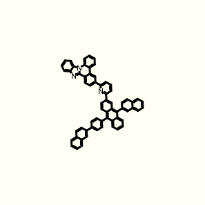 c1cc(-c2ccc3c(-c4ccc(-c5ccc6ccccc6c5)cc4)c4ccccc4c(-c4ccc5ccccc5c4)c3c2)nc(-c2ccc3c(c2)c2ccccc2n2c4ccccc4nc32)c1